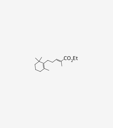 CCOC(=O)/C(C)=C/CCC1=C(C)CCCC1(C)C